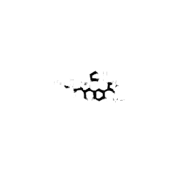 COc1cc2c(cc1-c1c(C)noc1C)-c1c(c(C(=O)NCC(C)(C)C)nn1-c1ccsc1)CO2